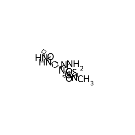 Cc1csc(S(=O)(=O)C2(c3cc(N)nc(-c4ccc(NC(=O)NC5CCC5)cc4)n3)CC2)n1